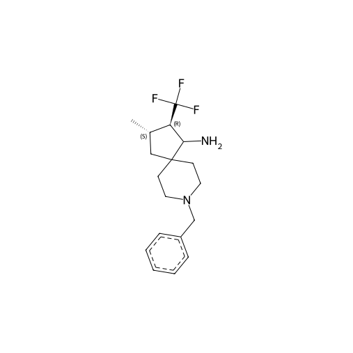 C[C@H]1CC2(CCN(Cc3ccccc3)CC2)C(N)[C@@H]1C(F)(F)F